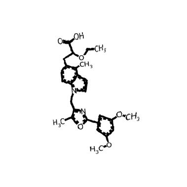 CCOC(Cc1ccc2c(ccn2Cc2nc(-c3cc(OC)cc(OC)c3)oc2C)c1C)C(=O)O